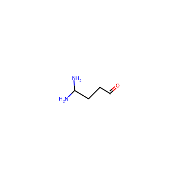 NC(N)CC[C]=O